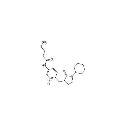 NCCCC(=O)Nc1ccc(CC2CCN(C3CCCCC3)C2=O)c(Cl)c1